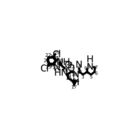 N#CC(CC1CCCNC1)NC(=O)C(CC1CC1)NC(=O)c1nc2c(Cl)ccc(Cl)c2[nH]1